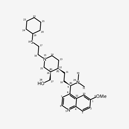 COc1ccc2nccc([C@@H](CC[C@@H]3CCN(CCSC4CCCCC4)C[C@@H]3CO)N(C)C)c2c1